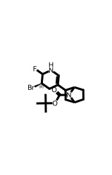 CC(C)(C)OC(=O)N1C2CCC1C(C1=CNC(F)[C@H](Br)C1)C2